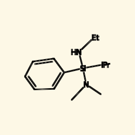 CCN[Si](c1ccccc1)(C(C)C)N(C)C